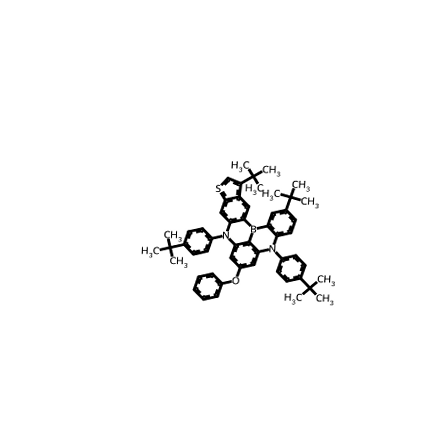 CC(C)(C)c1ccc(N2c3ccc(C(C)(C)C)cc3B3c4cc5c(C(C)(C)C)csc5cc4N(c4ccc(C(C)(C)C)cc4)c4cc(Oc5ccccc5)cc2c43)cc1